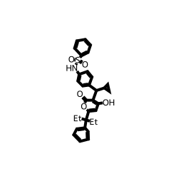 CCC(CC)(c1ccccc1)c1cc(O)c(C(c2ccc(NS(=O)(=O)c3ccccc3)cc2)C2CC2)c(=O)o1